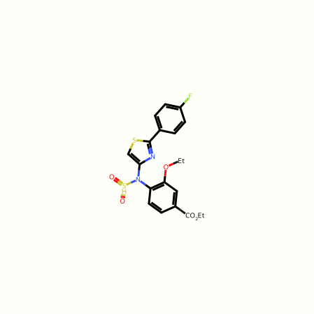 CCOC(=O)c1ccc(N(c2csc(-c3ccc(F)cc3)n2)[SH](=O)=O)c(OCC)c1